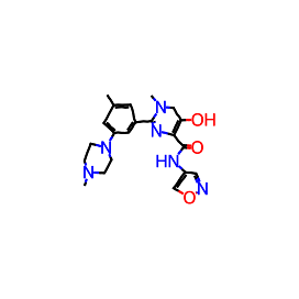 Cc1cc(C2=NC(C(=O)Nc3cnoc3)=C(O)CN2C)cc(N2CCN(C)CC2)c1